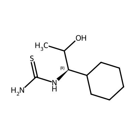 CC(O)[C@H](NC(N)=S)C1CCCCC1